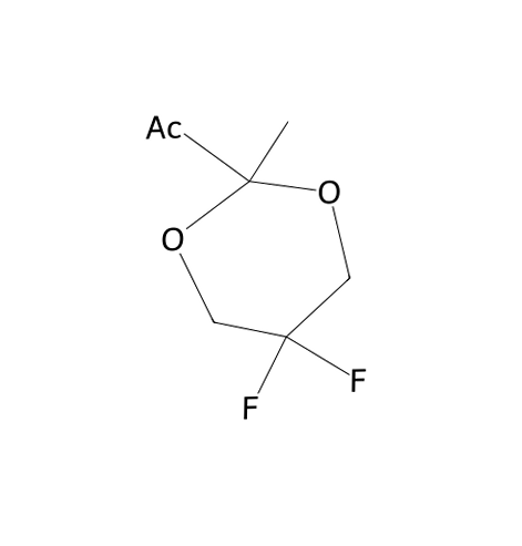 CC(=O)C1(C)OCC(F)(F)CO1